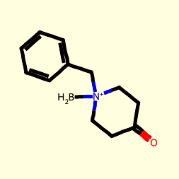 B[N+]1(Cc2ccccc2)CCC(=O)CC1